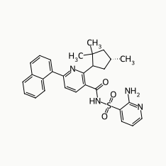 C[C@@H]1CC(c2nc(-c3cccc4ccccc34)ccc2C(=O)NS(=O)(=O)c2cccnc2N)C(C)(C)C1